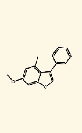 COc1cc(C)c2c(-c3ccccc3)coc2c1